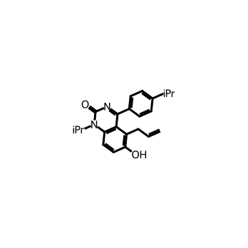 C=CCc1c(O)ccc2c1c(-c1ccc(C(C)C)cc1)nc(=O)n2C(C)C